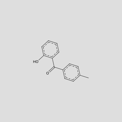 Cc1ccc(C(=O)c2ccccc2O)cc1